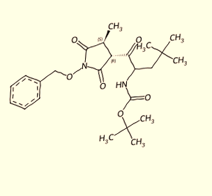 C[C@@H]1C(=O)N(OCc2ccccc2)C(=O)[C@H]1C(=O)C(CC(C)(C)C)NC(=O)OC(C)(C)C